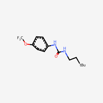 CC(C)(C)CCNC(=O)Nc1ccc(OC(F)(F)F)cc1